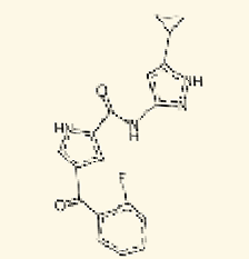 O=C(Nc1cc(C2CC2)[nH]n1)c1cc(C(=O)c2ccccc2F)c[nH]1